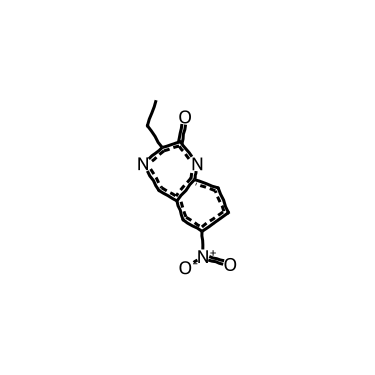 CCc1ncc2cc([N+](=O)[O-])ccc2nc1=O